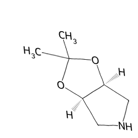 CC1(C)O[C@H]2CNC[C@H]2O1